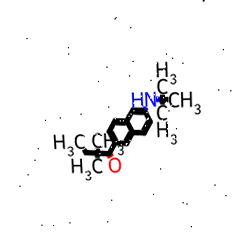 CCC(C)(C)C(=O)c1ccc2cc(NC(C)(C)C)ccc2c1